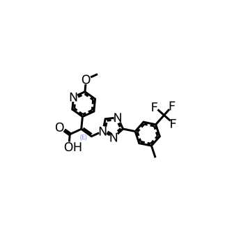 COc1ccc(/C(=C\n2cnc(-c3cc(C)cc(C(F)(F)F)c3)n2)C(=O)O)cn1